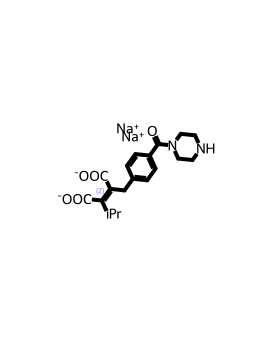 CC(C)/C(C(=O)[O-])=C(\Cc1ccc(C(=O)N2CCNCC2)cc1)C(=O)[O-].[Na+].[Na+]